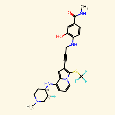 CNC(=O)c1ccc(NCC#Cc2cc3c(N[C@@H]4CCN(C)C[C@@H]4F)cccn3c2SC(F)(F)F)c(O)c1